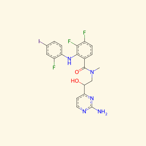 CN(CC(O)c1ccnc(N)n1)C(=O)c1ccc(F)c(F)c1Nc1ccc(I)cc1F